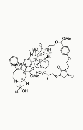 CC[C@]1(O)C[C@H]2CN(CCc3c([nH]c4ccccc34)[C@@](C(=O)OC)(c3cc4c(cc3OC)N(C)[C@H]3[C@@](O)(C(=O)NCCOC(OC)c5ccc(OCCN6C(=O)CC(SCC(C)C(=O)O)C6=O)cc5)[C@H](O)[C@]5(CC)C=CCN6CC[C@]43[C@@H]65)C2)C1